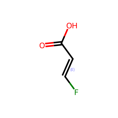 O=C(O)/C=C/F